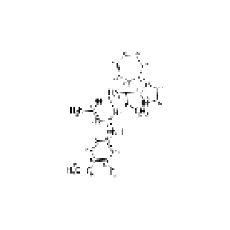 CCC(Nc1nc(N)nc(Nc2ccc(OC)c(F)c2)n1)(C1C=CCCCC1)C1CCCN1